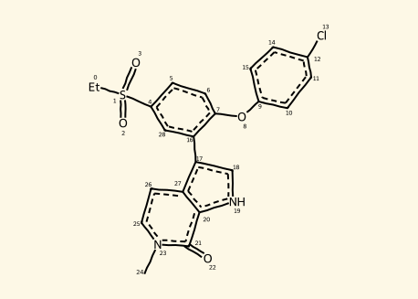 CCS(=O)(=O)c1ccc(Oc2ccc(Cl)cc2)c(-c2c[nH]c3c(=O)n(C)ccc23)c1